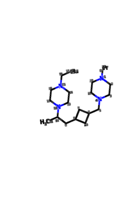 CC(C)N1CCN(CC2CC(CC(C)N3CCN(CC(C)(C)C)CC3)C2)CC1